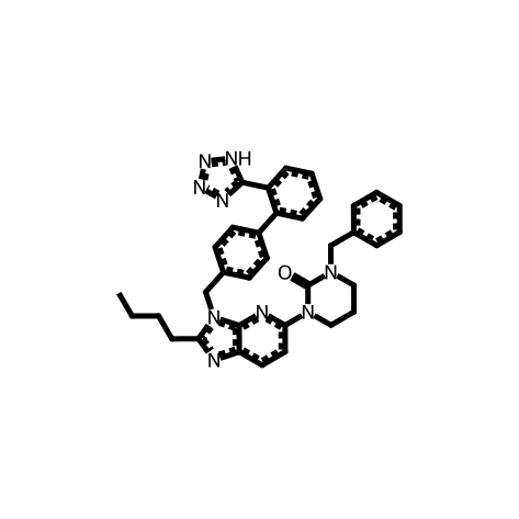 CCCCc1nc2ccc(N3CCCN(Cc4ccccc4)C3=O)nc2n1Cc1ccc(-c2ccccc2-c2nnn[nH]2)cc1